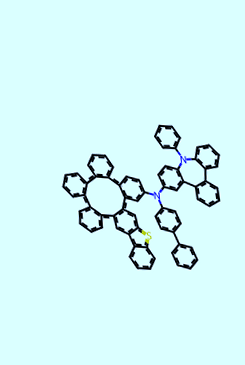 c1ccc(-c2ccc(N(c3ccc4c(c3)-c3ccccc3-c3ccccc3N4c3ccccc3)c3ccc4c5ccccc5c5ccccc5c5ccccc5c5cc6c(cc5c4c3)sc3ccccc36)cc2)cc1